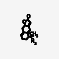 CC1CCC=C2CC3OC(=O)C=C3CC21C